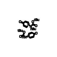 CC(C)(C)OC(=O)Nn1ccc(=O)cc1.CCCCN(C(=O)OC(C)(C)C)n1ccc(=O)cc1